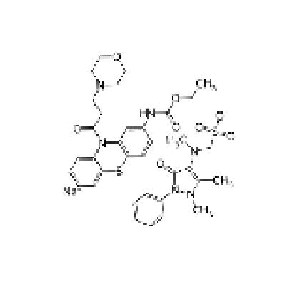 CCOC(=O)Nc1ccc2c(c1)N(C(=O)CCN1CCOCC1)c1ccccc1S2.Cc1c(N(C)CS(=O)(=O)[O-])c(=O)n(-c2ccccc2)n1C.[Na+]